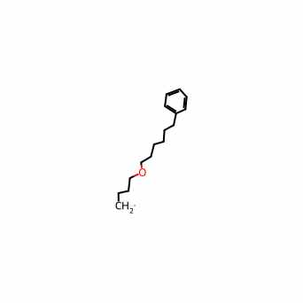 [CH2]CCCOCCCCCCc1ccccc1